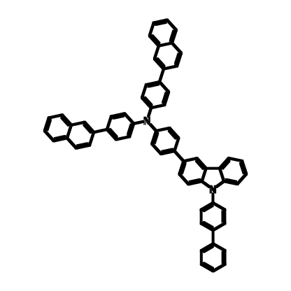 c1ccc(-c2ccc(-n3c4ccccc4c4cc(-c5ccc(N(c6ccc(-c7ccc8ccccc8c7)cc6)c6ccc(-c7ccc8ccccc8c7)cc6)cc5)ccc43)cc2)cc1